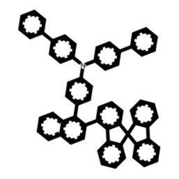 c1ccc(-c2ccc(N(c3ccc(-c4ccccc4)cc3)c3ccc(-c4c(-c5cccc6c5-c5ccccc5C65c6ccccc6-c6ccccc65)ccc5ccccc45)cc3)cc2)cc1